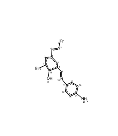 CCc1cc(C=NC(C)C)cc(C=Nc2ccc(N)cc2)c1O